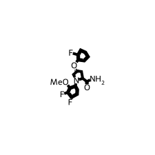 COc1c(N2C[C@H](Oc3ccccc3F)CC2C(N)=O)ccc(F)c1F